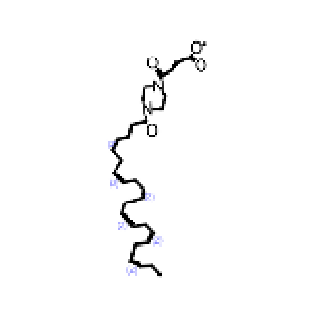 CC/C=C\C/C=C\C/C=C\C/C=C\C/C=C\C/C=C\CCC(=O)N1CCN(C(=O)C=CC(=O)OC)CC1